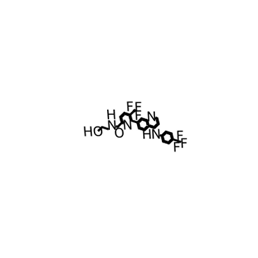 O=C(NCCO)c1ccc(C(F)(F)F)c(-c2ccc3c(Nc4ccc(C(F)(F)F)cc4)ccnc3c2)n1